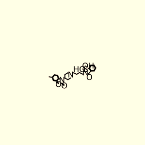 Cc1ccc2c(c1)oc(=O)n2C1CCN(CCCCN2C(=O)c3ccccc3S2(O)O)CC1